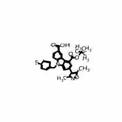 Cc1noc(C)c1-c1cc(C(=O)OC(C)(C)C)c2c3cc(C(=O)O)ccc3n(Cc3ccc(F)cc3)c2c1